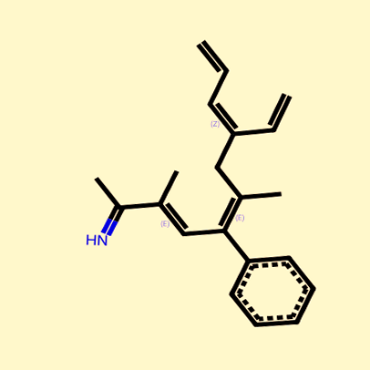 C=C/C=C(\C=C)C/C(C)=C(\C=C(/C)C(C)=N)c1ccccc1